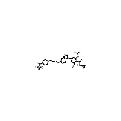 COc1cc(-c2cnc3cc(OCCCN4CCC(N(C)S(C)(=O)=O)CC4)ccn23)cc(OC(F)F)c1C(=O)NC1CC1